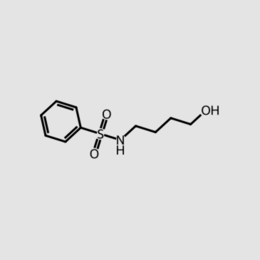 O=S(=O)(NCCCCO)c1ccccc1